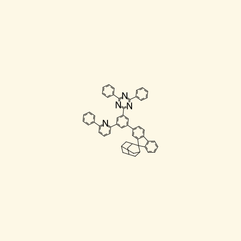 c1ccc(-c2cccc(-c3cc(-c4ccc5c(c4)C4(c6ccccc6-5)C5CC6CC(C5)CC4C6)cc(-c4nc(-c5ccccc5)nc(-c5ccccc5)n4)c3)n2)cc1